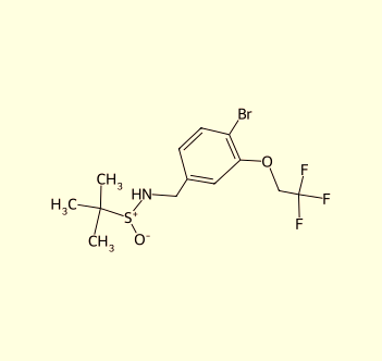 CC(C)(C)[S+]([O-])NCc1ccc(Br)c(OCC(F)(F)F)c1